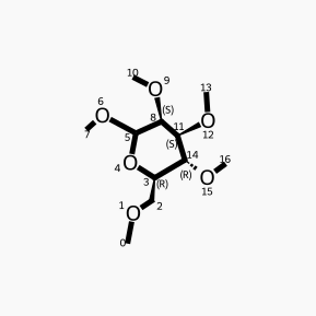 COC[C@H]1OC(OC)[C@@H](OC)[C@@H](OC)[C@@H]1OC